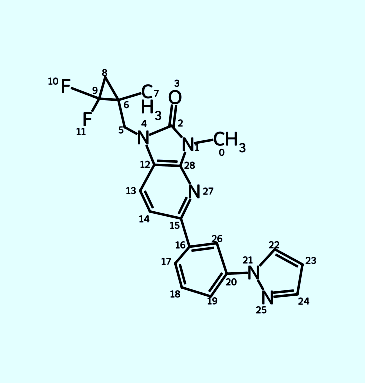 Cn1c(=O)n(CC2(C)CC2(F)F)c2ccc(-c3cccc(-n4cccn4)c3)nc21